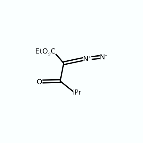 CCOC(=O)C(=[N+]=[N-])C(=O)C(C)C